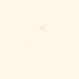 [NH]S(=O)(=O)S(=O)(=O)O